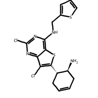 N[C@H]1CC=CC[C@@H]1c1sc2c(NCc3cccs3)nc(Cl)nc2c1Cl